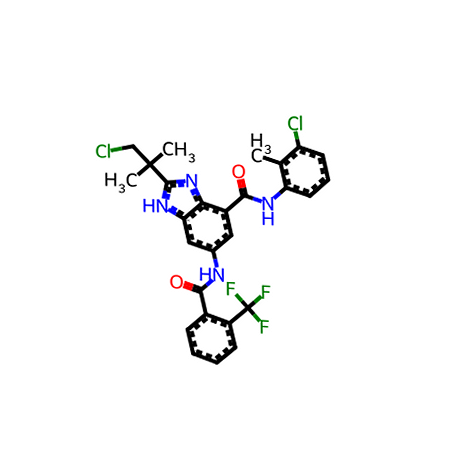 Cc1c(Cl)cccc1NC(=O)c1cc(NC(=O)c2ccccc2C(F)(F)F)cc2[nH]c(C(C)(C)CCl)nc12